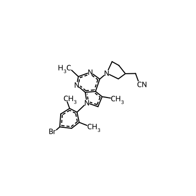 Cc1nc(N2CCC(CC#N)C2)c2c(C)cn(-c3c(C)cc(Br)cc3C)c2n1